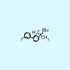 CC(C)(C)CC(C)(C)c1cccc(-c2cccc(F)c2)c1